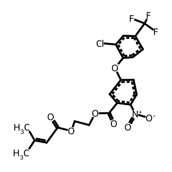 CC(C)=CC(=O)OCCOC(=O)c1cc(Oc2ccc(C(F)(F)F)cc2Cl)ccc1[N+](=O)[O-]